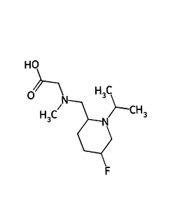 CC(C)N1CC(F)CCC1CN(C)CC(=O)O